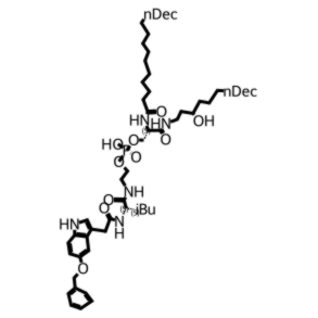 CCCCCCCCCCCCCCCCCCCC(=O)N[C@@H](COP(=O)(O)OCCNC(=O)[C@@H](NC(=O)Cc1c[nH]c2ccc(OCc3ccccc3)cc12)[C@@H](C)CC)C(=O)NCCC(O)CCCCCCCCCCCCC